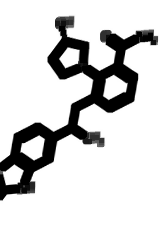 CC(Cc1cccc(C(N)=O)c1N1CC[C@H](O)C1)c1ccc2oc(=O)[nH]c2c1